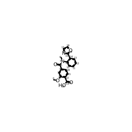 COc1cc(C(=O)N(C)c2ccccc2-c2ncco2)ccc1C(=O)O